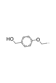 [CH2]COc1ccc(CO)cc1